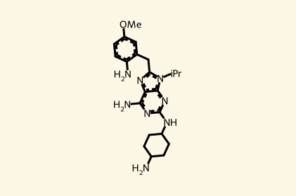 COc1ccc(N)c(Cc2nc3c(N)nc(NC4CCC(N)CC4)nc3n2C(C)C)c1